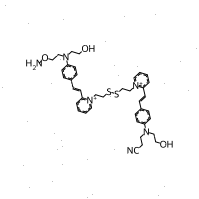 N#CCCN(CCO)c1ccc(/C=C/c2cccc[n+]2CCSSCC[n+]2ccccc2/C=C/c2ccc(N(CCO)CCON)cc2)cc1